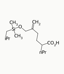 C=C(CCC(CCC)C(=O)O)CO[Si](C)(C)CC(C)C